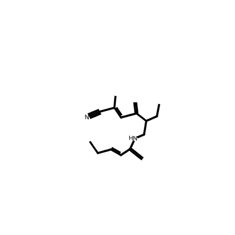 C=C(/C=C/CC)NCC(CC)C(=C)/C=C(\C)C#N